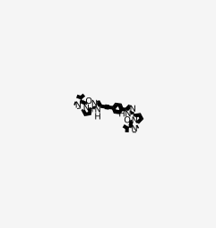 CC(C)[C@@H](C(=O)N1CCC[C@H]1c1ncc(C#Cc2ccc(-c3cnc([C@@H]4CCCN4C(=O)[C@H](C(C)C)N(C)C)[nH]3)cc2)[nH]1)N(C)C